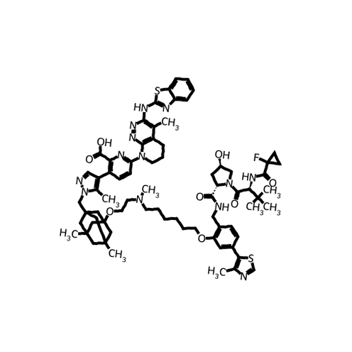 Cc1ncsc1-c1ccc(CNC(=O)[C@@H]2C[C@@H](O)CN2C(=O)[C@@H](NC(=O)C2(F)CC2)C(C)(C)C)c(OCCCCCCN(C)CCOC23CC4(C)CC(C)(CC(Cn5ncc(-c6ccc(N7CCCc8c7nnc(Nc7nc9ccccc9s7)c8C)nc6C(=O)O)c5C)(C4)C2)C3)c1